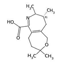 CC1N=C(C(=O)O)C2=C(COC(C)(C)CC2)C[C@H]1C